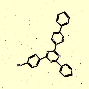 CC(C)(C)c1ccc(-c2nc(-c3ccccc3)nc(-c3ccc(-c4ccccc4)cc3)n2)cc1